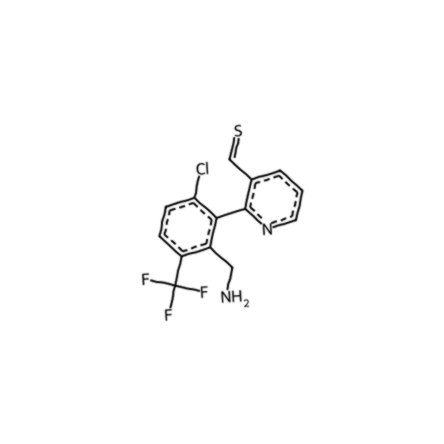 NCc1c(C(F)(F)F)ccc(Cl)c1-c1ncccc1C=S